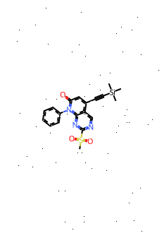 C[Si](C)(C)C#Cc1cc(=O)n(-c2ccccc2)c2nc(S(C)(=O)=O)ncc12